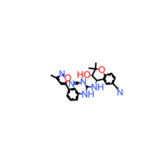 Cc1cc(-c2cccc(NC(=NC#N)N[C@@H]3c4cc(C#N)ccc4OC(C)(C)[C@H]3O)c2)on1